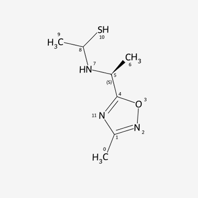 Cc1noc([C@H](C)NC(C)S)n1